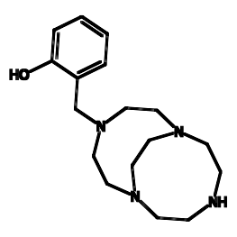 Oc1ccccc1CN1CCN2CCNCCN(CC2)CC1